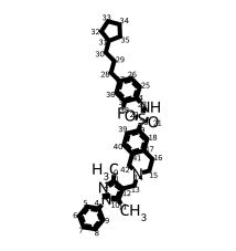 Cc1nn(-c2ccccc2)c(C)c1CN1CCc2cc(S(=O)(=O)Nc3ccc(CCCC4CCCC4)cc3F)ccc2C1